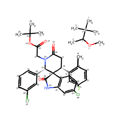 COC(C)[Si](C)(C)C.Cc1ccc(F)cc1[C@H]1CC(=O)N(CC(=O)OC(C)(C)C)[C@@H](c2cccc(Cl)c2)[C@]12C(=O)Nc1cc(Cl)ccc12